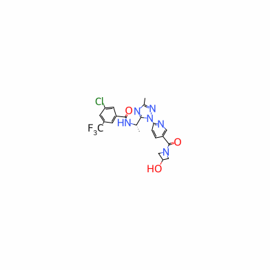 Cc1nc([C@H](C)NC(=O)c2cc(Cl)cc(C(F)(F)F)c2)n(-c2ccc(C(=O)N3CC(O)C3)cn2)n1